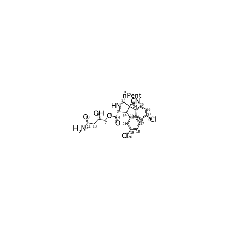 CCCCC[C@H]1N[C@@H](C(=O)OC[C@@H](O)CC(N)=O)[C@H](c2cccc(Cl)c2)[C@@]1(C#N)c1ccc(Cl)cc1